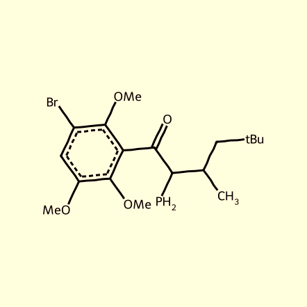 COc1cc(Br)c(OC)c(C(=O)C(P)C(C)CC(C)(C)C)c1OC